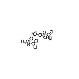 CN(C(=O)c1cc(Cl)cc(Cl)c1)c1ccc(-c2cc(-c3ccc(N(C)C(=O)c4cc(Cl)cc(Cl)c4)cc3)ncn2)cc1